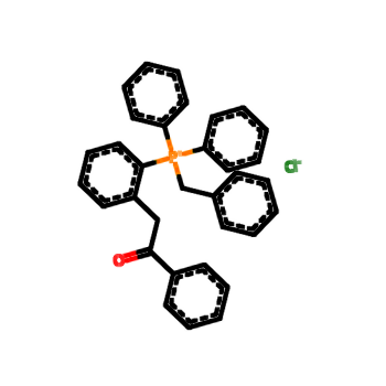 O=C(Cc1ccccc1[P+](Cc1ccccc1)(c1ccccc1)c1ccccc1)c1ccccc1.[Cl-]